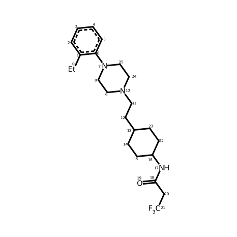 CCc1ccccc1N1CCN(CCC2CCC(NC(=O)CC(F)(F)F)CC2)CC1